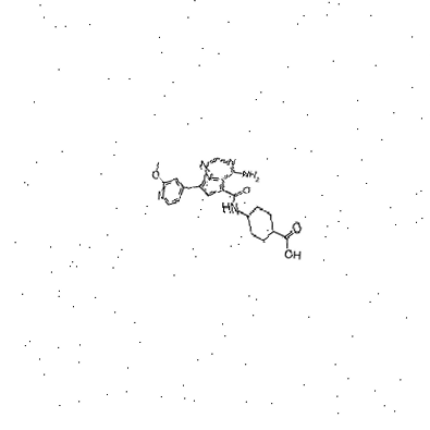 COc1cc(-c2cc(C(=O)NC3CCC(C(=O)O)CC3)c3c(N)ncnn23)ccn1